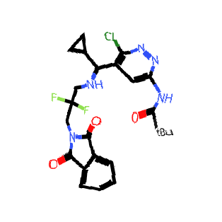 CC(C)(C)C(=O)Nc1cc(C(NCC(F)(F)CN2C(=O)c3ccccc3C2=O)C2CC2)c(Cl)nn1